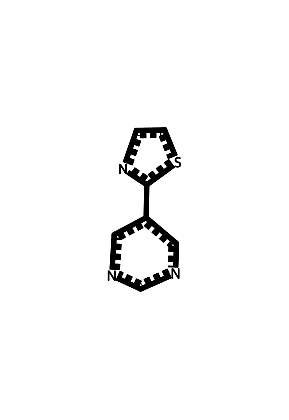 c1ncc(-c2nccs2)cn1